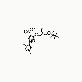 Cc1cc(-n2cc([N+](=O)[O-])c(OCC(F)CO[Si](C)(C)C(C)(C)C)n2)n(C)n1